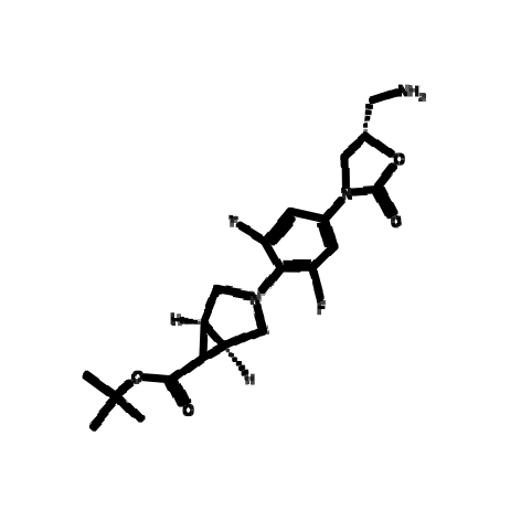 CC(C)(C)OC(=O)C1[C@H]2CN(c3c(F)cc(N4C[C@H](CN)OC4=O)cc3F)C[C@@H]12